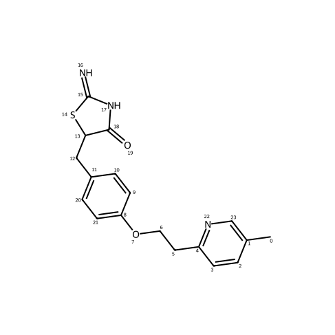 Cc1ccc(CCOc2ccc(CC3SC(=N)NC3=O)cc2)nc1